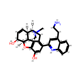 CN1CC[C@]23c4c5c(-c6cc(CCN)c7ccccc7n6)cc(O)c4O[C@H]2[C@@H](O)C=C[C@H]3[C@H]1C5